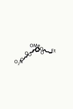 CC/C=C\CCCC(=O)Oc1ccc(/C=C/COC(=O)CCCO[N+](=O)[O-])cc1OC